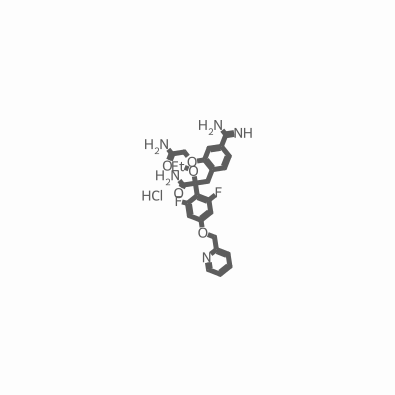 CCOC(Cc1ccc(C(=N)N)cc1OCC(N)=O)(C(N)=O)c1c(F)cc(OCc2ccccn2)cc1F.Cl